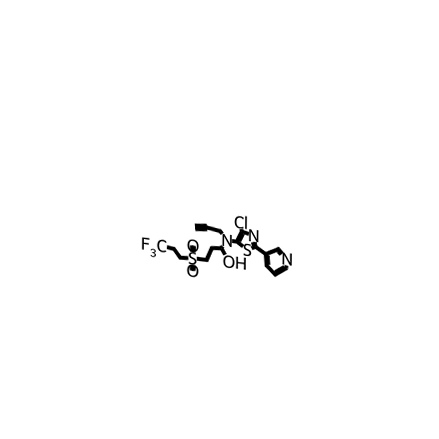 C#CCN(c1sc(-c2cccnc2)nc1Cl)C(O)CCS(=O)(=O)CCC(F)(F)F